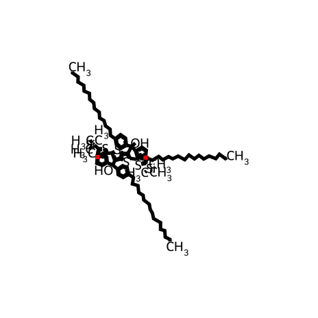 CCCCCCCCCCCCCCCCc1ccc(C(O)(c2ccc(C)cc2)c2c(-c3ccc([Si](C)(C)C)s3)sc3c(C(O)(c4ccc(CCCCCCCCCCCCCCCC)cc4)c4ccc(CCCCCCCCCCCCCCCC)cc4)c(-c4ccc([Si](C)(C)C)s4)sc23)cc1